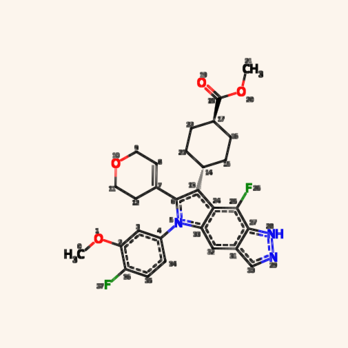 COc1cc(-n2c(C3=CCOCC3)c([C@H]3CC[C@H](C(=O)OC)CC3)c3c(F)c4[nH]ncc4cc32)ccc1F